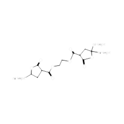 CCCCCCCC1CC(C(=O)OCCOC(=O)C2CC(CCCCCCC)(CCCCCCC)OC2=O)C(=O)O1